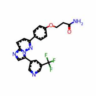 NC(=O)CCOc1ccc(-c2ccc3ncc(-c4cncc(C(F)(F)F)c4)n3n2)cc1